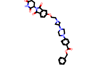 O=C1CCC(N2C(=O)c3ccc(OCCN4CC(N5CCN(c6ccc(C(=O)OCc7ccccc7)cc6)CC5)C4)cc3C2=O)C(=O)N1